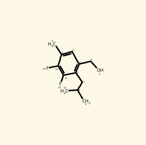 Cc1cc(CO)c(CC(C)C)c(F)c1F